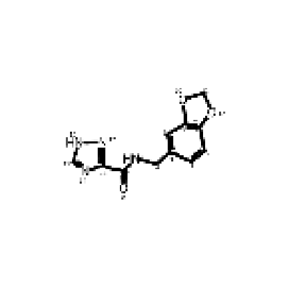 O=C(NCc1ccc2c(c1)OCO2)c1nc[nH]n1